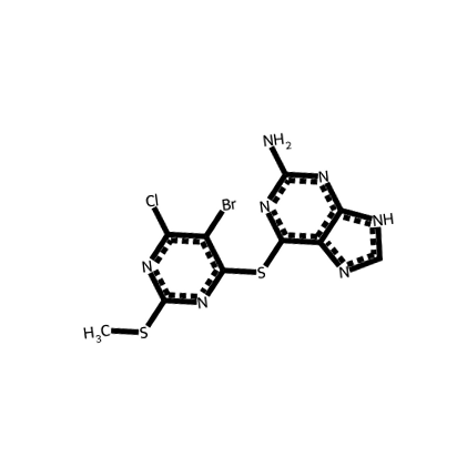 CSc1nc(Cl)c(Br)c(Sc2nc(N)nc3[nH]cnc23)n1